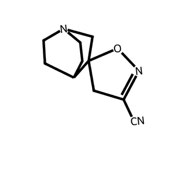 N#CC1=NOC2(C1)CN1CCC2CC1